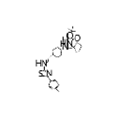 Cc1ccc(-c2csc(NCC[C@H]3CC[C@@H](NCC4(NC(=O)OC(C)(C)C)CCCC4)CC3)n2)cc1